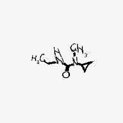 CCNC(=O)N(C)C1CC1